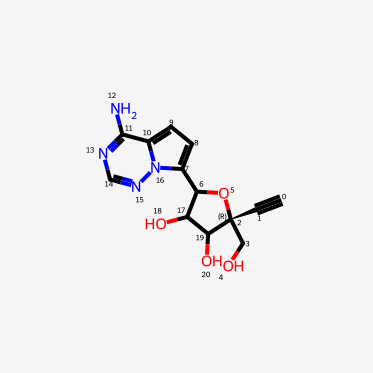 C#C[C@]1(CO)OC(c2ccc3c(N)ncnn23)C(O)C1O